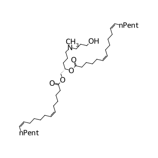 CCCCC/C=C\CCCC/C=C\CCCCC(=O)OC[C@H](CCCN(C)CCCO)OC(=O)CCCC/C=C\CCCC/C=C\CCCCC